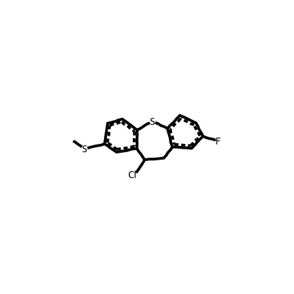 CSc1ccc2c(c1)C(Cl)Cc1cc(F)ccc1S2